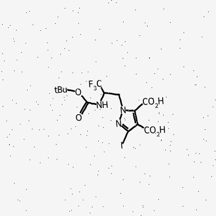 CC(C)(C)OC(=O)NC(Cn1nc(I)c(C(=O)O)c1C(=O)O)C(F)(F)F